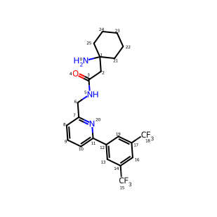 NC1(CC(=O)NCc2cccc(-c3cc(C(F)(F)F)cc(C(F)(F)F)c3)n2)CCCCC1